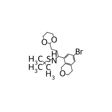 CC(C)(C)SNC(CCC1OCCCO1)c1cc(Br)cc2c1COCC2